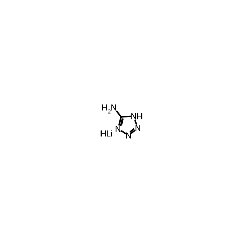 Nc1nnn[nH]1.[LiH]